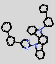 c1ccc(-c2cccc(-c3cnc(-n4c5ccccc5c5ccc6c(c7ccccc7n6-c6cccc(-c7ccccc7)c6)c54)nc3)c2)cc1